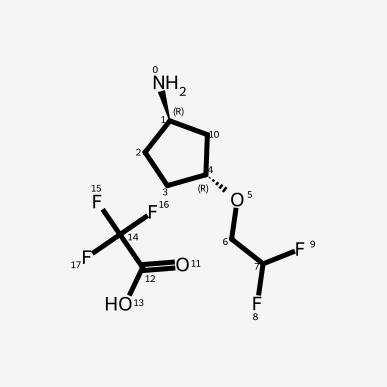 N[C@@H]1CC[C@@H](OCC(F)F)C1.O=C(O)C(F)(F)F